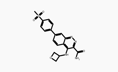 CS(=O)(=O)c1ccc(-c2ccc3c(NC4COC4)c(C(N)=O)nnc3c2)cc1